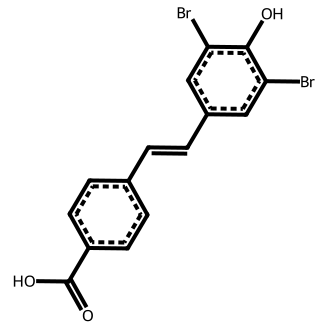 O=C(O)c1ccc(C=Cc2cc(Br)c(O)c(Br)c2)cc1